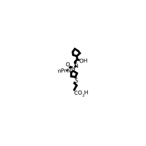 CCCN1C(=O)N(/N=C/C(O)C2CCCCC2)C2CC(SCCCC(=O)O)CC21